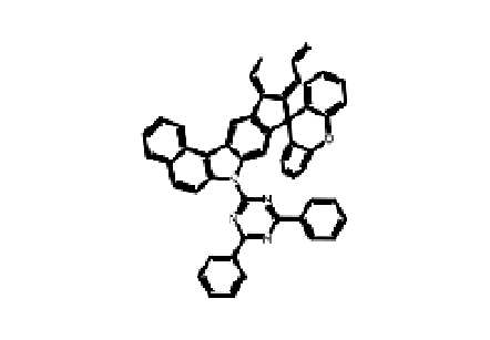 C=C/C=C1\C(=C/C)c2cc3c4c5ccccc5ccc4n(-c4nc(-c5ccccc5)nc(-c5ccccc5)n4)c3cc2C12c1ccccc1Oc1ccccc12